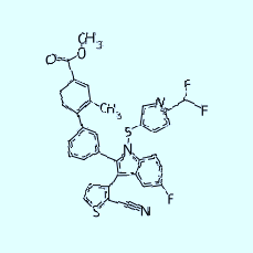 COC(=O)C1=CC(C)=C(c2cccc(-c3c(-c4ccsc4C#N)c4cc(F)ccc4n3Sc3ccc(C(F)F)nc3)c2)CC1